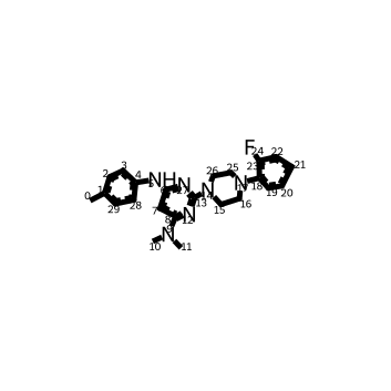 Cc1ccc(Nc2cc(N(C)C)nc(N3CCN(c4ccccc4F)CC3)n2)cc1